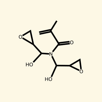 C=C(C)C(=O)N(C(O)C1CO1)C(O)C1CO1